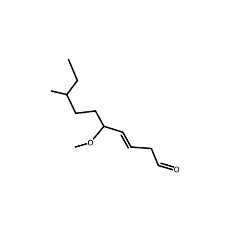 CCC(C)CCC(/C=C/CC=O)OC